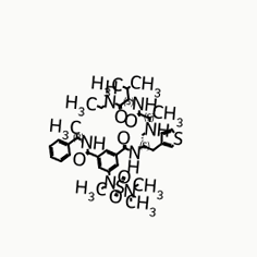 CCNC(=O)[C@@H](NC(=O)[C@H](C)NC[C@H](Cc1ccsc1)NC(=O)c1cc(C(=O)N[C@H](C)c2ccccc2)cc(N(C)S(=O)(=O)N(C)C)c1)C(C)C